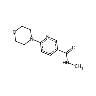 CNC(=O)c1ccc(N2CCOCC2)nc1